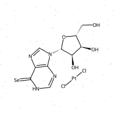 OC[C@H]1O[C@@H](n2cnc3c(=[Se])[nH]cnc32)[C@H](O)[C@@H]1O.[Cl][Pt][Cl]